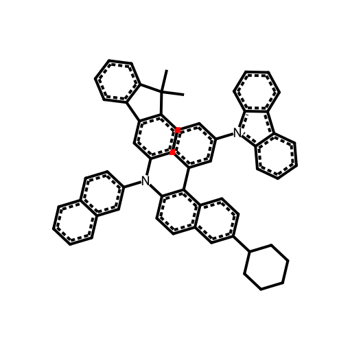 CC1(C)c2ccccc2-c2cc(N(c3ccc4ccccc4c3)c3ccc4cc(C5CCCCC5)ccc4c3-c3cccc(-n4c5ccccc5c5ccccc54)c3)ccc21